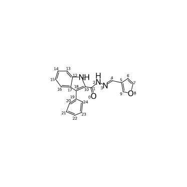 O=C(NN=Cc1ccoc1)c1[nH]c2ccccc2c1-c1ccccc1